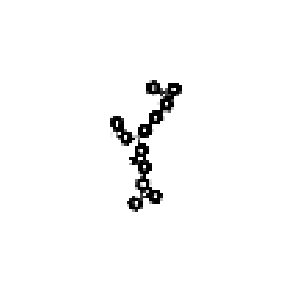 CC1(C)c2cc(-c3ccc4c(c3)c3ccccc3n4-c3ccccc3)ccc2-c2ccc(N(c3ccc(-c4ccc(-c5ccc6c7ccccc7n(-c7ccccc7)c6c5)cc4)cc3)c3ccc4oc5ccccc5c4c3)cc21